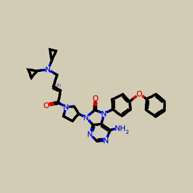 Nc1ncnc2c1n(-c1ccc(Oc3ccccc3)cc1)c(=O)n2C1CCN(C(=O)/C=C/CN(C2CC2)C2CC2)C1